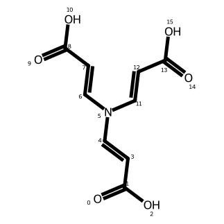 O=C(O)C=CN(C=CC(=O)O)C=CC(=O)O